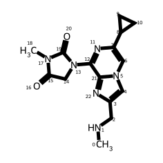 CNCc1cn2cc(C3CC3)nc(N3CC(=O)N(C)C3=O)c2n1